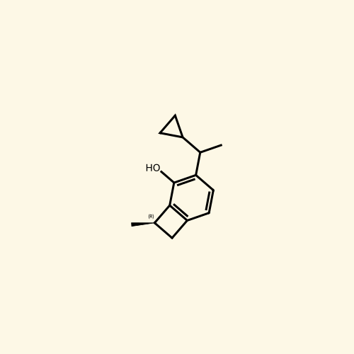 CC(c1ccc2c(c1O)[C@H](C)C2)C1CC1